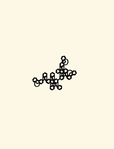 C1=CC2Oc3cc(N4c5ccccc5B5c6cc(-c7cc8c9c(c7)N(c7ccccc7)c7cc(N(c%10ccccc%10)c%10ccc%11oc%12ccccc%12c%11c%10)ccc7B9c7ccccc7N8c7ccccc7)ccc6N(c6cccc7c6oc6ccccc67)c6cccc4c65)ccc3C2C=C1